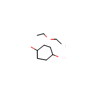 CCOCC.OC1CCC(O)CC1